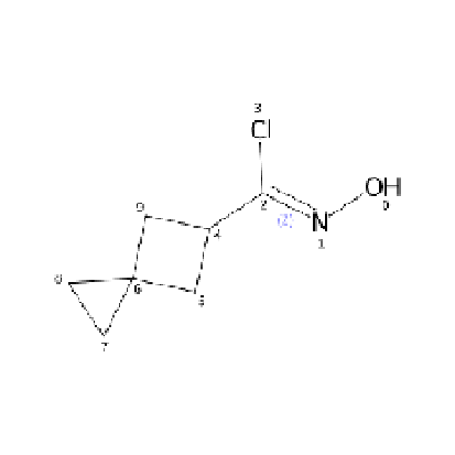 O/N=C(\Cl)C1CC2(CC2)C1